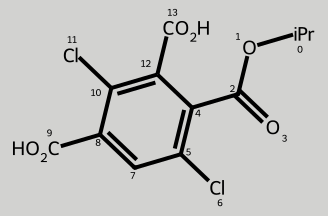 CC(C)OC(=O)c1c(Cl)cc(C(=O)O)c(Cl)c1C(=O)O